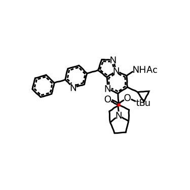 CC(=O)Nc1c(C2CC2)c(C2CC3CCC(C2)N3C(=O)OC(C)(C)C)nc2c(-c3ccc(-c4ccccc4)nc3)cnn12